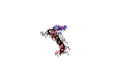 CC[C@@H](C(=O)[C@@H](C)[C@@H](O)[C@H](C)[C@@H]1O[C@@H]([C@@H](CC)C(=O)NCC(=O)Nc2nncs2)CCC1C)[C@H]1O[C@]2(C=C[C@@H](O)[C@]3(CC[C@@](C)([C@H]4CC[C@](O)(CC)[C@H](C)O4)O3)O2)[C@H](C)C[C@@H]1C